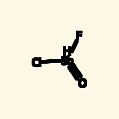 [O]=[SbH]([F])[Cl]